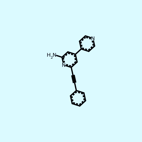 Nc1cc(-c2ccncc2)cc(C#Cc2ccccc2)n1